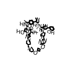 Cc1ncsc1-c1ccc([C@H](C)NC(=O)[C@@H]2C[C@@H](O)CN2C(=O)C(c2cc(N3CCC(CN4CCC(OC5CC(Oc6cnc(N7CCC(n8nc(N)c9nnc(-c%10ccccc%10O)cc98)CC7)nc6)C5)CC4)CC3)no2)C(C)C)cc1